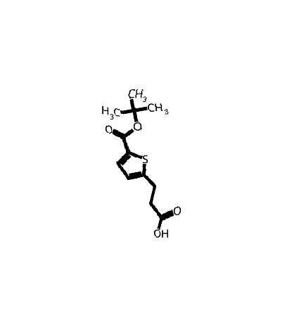 CC(C)(C)OC(=O)c1ccc(CCC(=O)O)s1